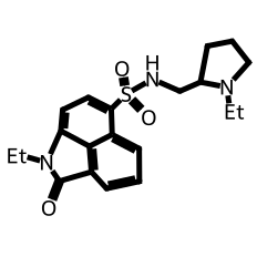 CCN1C(=O)c2cccc3c(S(=O)(=O)NCC4CCCN4CC)ccc1c23